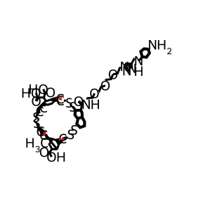 CC1C2c3cc4ccc3C(c3cc(ccc32)SSc2ccc3c(c2)C(C(C(=O)O)C(=O)O)c2ccc(cc2C3)SSc2cc3c(cccc3cc2C(=O)NCCOCCOCCOCCn2cc(CNc3ccc(N)cc3)nn2)SS4)C1C(=O)O